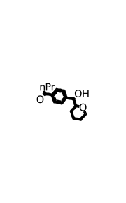 CCCC(=O)c1ccc(C(O)C2CCCCO2)cc1